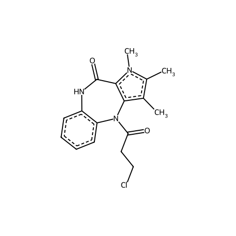 Cc1c2c(n(C)c1C)C(=O)Nc1ccccc1N2C(=O)CCCl